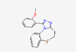 COc1ccccc1-c1nnc2n1-c1ccccc1SCC2